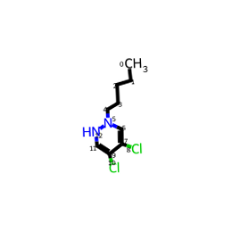 CCCCCN1C=C(Cl)C(Cl)=CN1